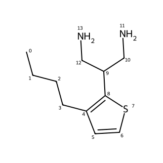 CCCCc1ccsc1C(CN)CN